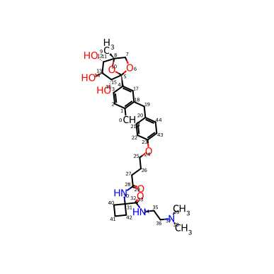 Cc1ccc([C@]23OC[C@](C)(O2)[C@@H](O)[C@H](O)[C@H]3O)cc1Cc1ccc(OCCCC(=O)NC2(C(=O)NCCN(C)C)CCC2)cc1